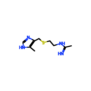 CC(=N)NCCSCc1nc[nH]c1C